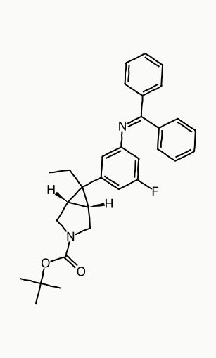 CCC1(c2cc(F)cc(N=C(c3ccccc3)c3ccccc3)c2)[C@@H]2CN(C(=O)OC(C)(C)C)C[C@@H]21